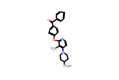 CCOC(=O)C1CCN(c2ccnc(Oc3ccc(C(=O)c4ccccc4)cc3)c2[N+](=O)[O-])CC1